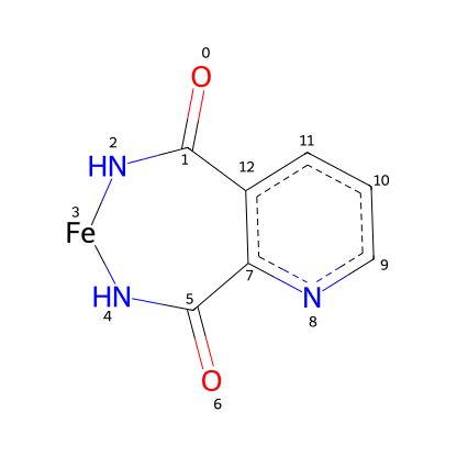 O=C1[NH][Fe][NH]C(=O)c2ncccc21